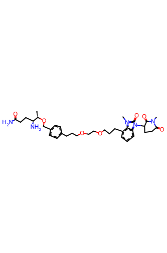 C[C@@H](OCc1ccc(CCCOCCOCCCc2cccc3c2n(C)c(=O)n3C2CCC(=O)N(C)C2=O)cc1)[C@@H](N)CCC(N)=O